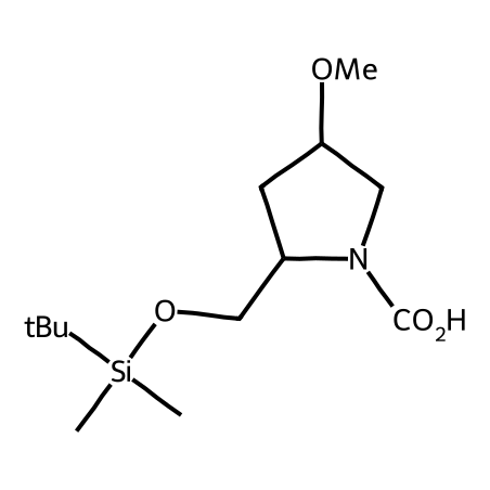 COC1CC(CO[Si](C)(C)C(C)(C)C)N(C(=O)O)C1